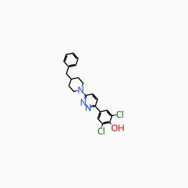 Oc1c(Cl)cc(-c2ccc(N3CCC(Cc4ccccc4)CC3)nn2)cc1Cl